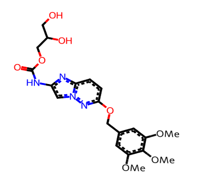 COc1cc(COc2ccc3nc(NC(=O)OCC(O)CO)cn3n2)cc(OC)c1OC